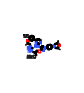 COCC(C)COc1nn(C2CCC(N3C[C@@H](C)O[C@@H](C)C3)CC2)cc1Nc1nccc(-c2ccc(C#N)c(O[C@@H](C)Cn3cnnn3)c2)n1